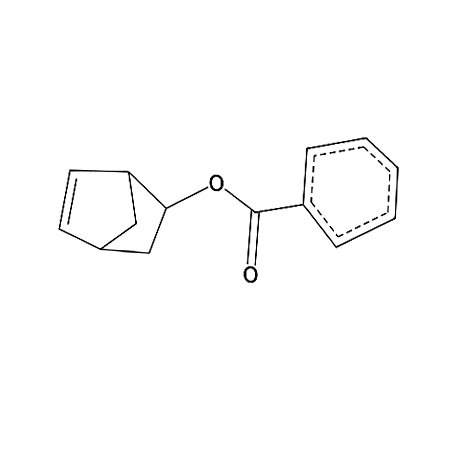 O=C(OC1CC2C=CC1C2)c1ccccc1